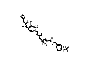 O=C(CC1CCC1)Nc1ccn(CCC(F)Cn2cc(C(=O)NCc3cccc(OC(F)(F)F)c3)nn2)c(=O)c1F